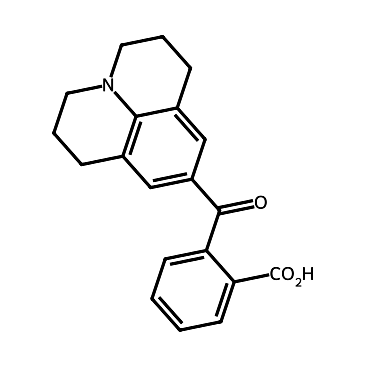 O=C(O)c1ccccc1C(=O)c1cc2c3c(c1)CCCN3CCC2